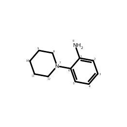 Nc1c[c]ccc1N1CCCCC1